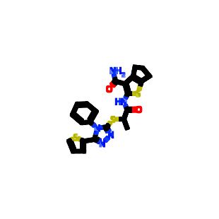 CC(Sc1nnc(-c2cccs2)n1-c1ccccc1)C(=O)Nc1sc2c(c1C(N)=O)CCC2